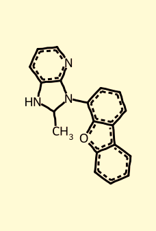 CC1Nc2cccnc2N1c1cccc2c1oc1ccccc12